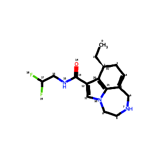 CC[C@H]1CC=C2CNCCn3cc(C(=O)NCC(F)F)c1c32